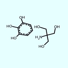 NC(CO)(CO)CO.Oc1cccc(O)c1O